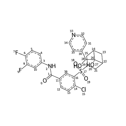 O=C(Nc1ccc(F)c(F)c1)c1ccc(Cl)c(S(=O)(=O)C2CC3CC(C2)C3(O)C(O)c2ccncc2)c1